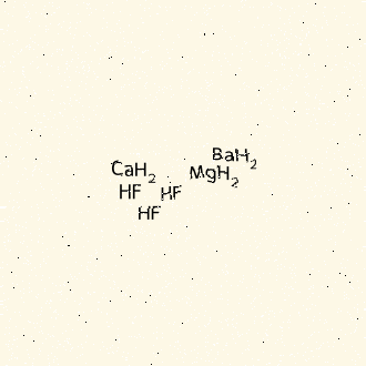 F.F.F.[BaH2].[CaH2].[MgH2]